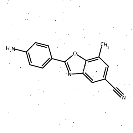 Cc1cc(C#N)cc2nc(-c3ccc(N)cc3)oc12